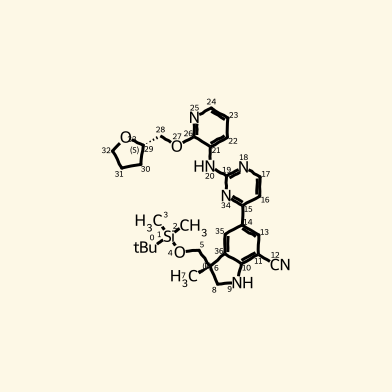 CC(C)(C)[Si](C)(C)OC[C@@]1(C)CNc2c(C#N)cc(-c3ccnc(Nc4cccnc4OC[C@@H]4CCCO4)n3)cc21